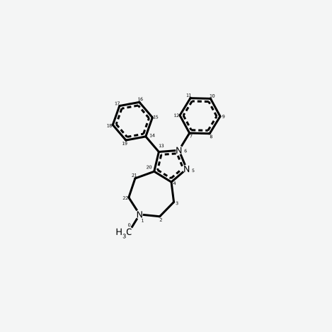 CN1CCc2nn(-c3ccccc3)c(-c3ccccc3)c2CC1